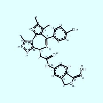 Cc1sc2c(c1C)C(c1ccc(Cl)cc1)=N[C@@H](CC(=O)Nc1ccc3c(c1)CO/C3=N/O)c1nnc(C)n1-2